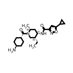 CC[C@@H]1CN(C(=O)[C@H]2CC[C@H](N)CC2)[C@H](C)C[C@@H]1NC(=O)c1cc(C2CC2)on1